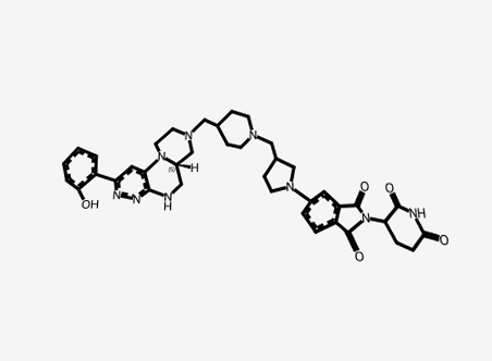 O=C1CCC(N2C(=O)c3ccc(N4CCC(CN5CCC(CN6CCN7c8cc(-c9ccccc9O)nnc8NC[C@H]7C6)CC5)C4)cc3C2=O)C(=O)N1